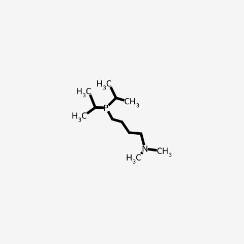 CC(C)P(CCCCN(C)C)C(C)C